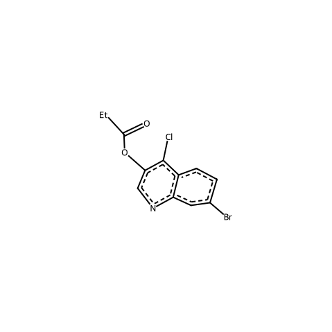 CCC(=O)Oc1cnc2cc(Br)ccc2c1Cl